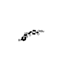 CC(C)(C)OC(=O)N1CCN(CC(=O)Nc2cn3cc(Br)ccc3n2)CC1